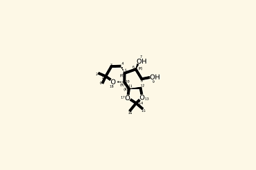 CC1(C)CC[C@H]([C@@H](O)CO)[C@H]([C@H]2COC(C)(C)O2)O1